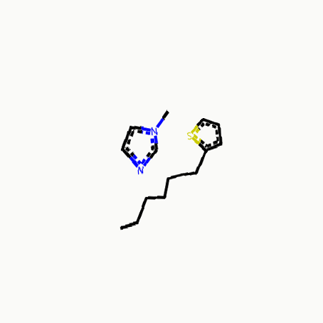 CCCCCCc1cccs1.Cn1ccnc1